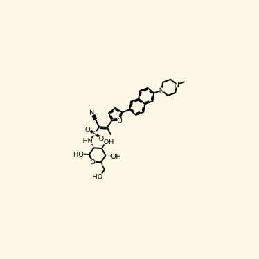 C/C(=C(/C#N)S(=O)(=O)N[C@H]1C(O)O[C@H](CO)[C@@H](O)[C@@H]1O)c1ccc(-c2ccc3cc(N4CCN(C)CC4)ccc3c2)o1